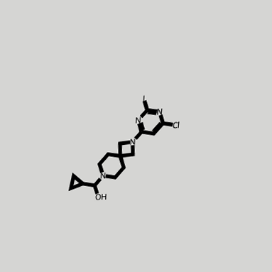 OC(C1CC1)N1CCC2(CC1)CN(c1cc(Cl)nc(I)n1)C2